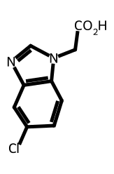 O=C(O)Cn1cnc2cc(Cl)ccc21